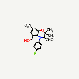 CC1(C)Oc2cc([N+](=O)[O-])cc(CO)c2N(c2ccc(F)cc2)C1C=O